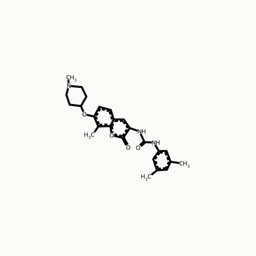 Cc1cc(C)cc(NC(=O)Nc2cc3ccc(OC4CCN(C)CC4)c(C)c3oc2=O)c1